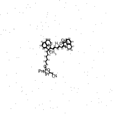 CC(C)N(C(C)C)P(OCCC#N)OCCCCCCC1(C)C(/C=C/C=C/C=C2/N3CCCc4cccc(c43)C2(C)C)=[N+]2CCCc3cccc1c32